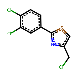 ClCc1csc(-c2ccc(Cl)c(Cl)c2)n1